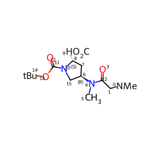 CNCC(=O)N(C)[C@@H]1C[C@@H](C(=O)O)N(C(=O)OC(C)(C)C)C1